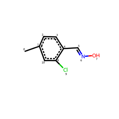 Cc1ccc(C=NO)c(Cl)c1